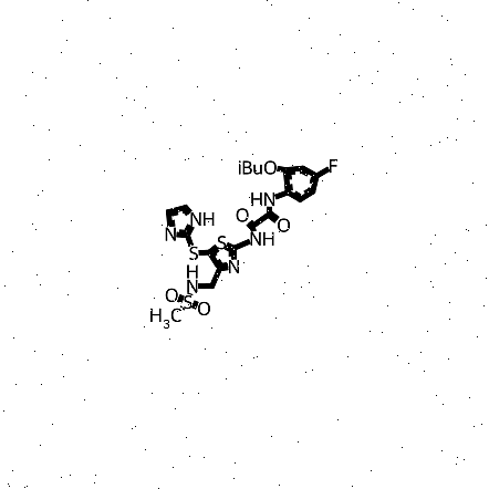 CC(C)COc1cc(F)ccc1NC(=O)C(=O)Nc1nc(CNS(C)(=O)=O)c(Sc2ncc[nH]2)s1